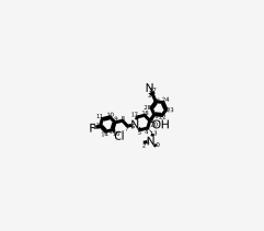 CN(C)C[C@@H]1CN(CCc2ccc(F)cc2Cl)CC[C@@]1(O)c1cccc(C#N)c1